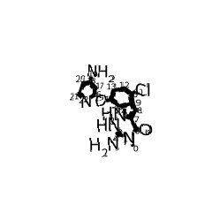 CN(C(=N)N)C(=O)c1cc2c(Cl)ccc(Oc3cc(N)ccn3)c2[nH]1